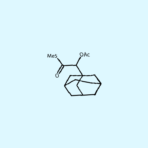 CSC(=O)C(OC(C)=O)C12CC3CC(CC(C3)C1)C2